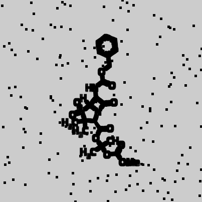 COC(=O)OC(C)(C)OC(=O)[C@@H]1N2C(=O)C(NC(=O)OCc3ccccc3)[C@H]2S(=O)(=O)C1(C)C